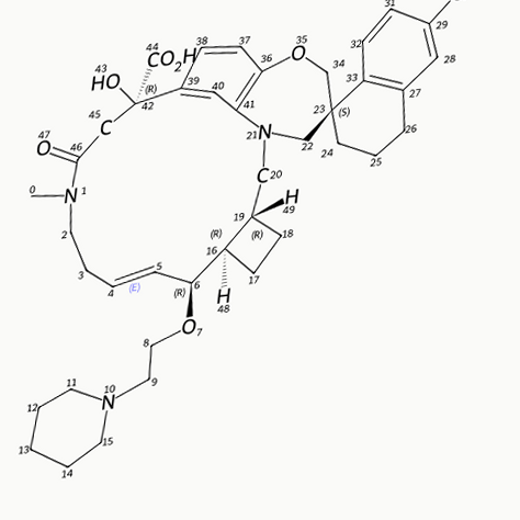 CN1CC/C=C/[C@H](OCCN2CCCCC2)[C@@H]2CC[C@H]2CN2C[C@@]3(CCCc4cc(Cl)ccc43)COc3ccc(cc32)[C@@](O)(C(=O)O)CC1=O